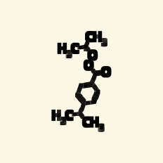 C[C](C)OOC(=O)c1ccc(C(C)C)cc1